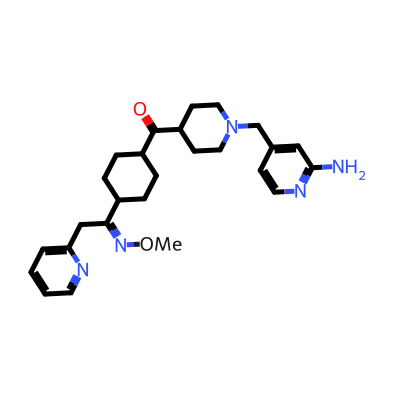 CON=C(Cc1ccccn1)C1CCC(C(=O)C2CCN(Cc3ccnc(N)c3)CC2)CC1